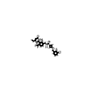 CCc1cc(=O)[nH]c(-c2c(C(F)(F)F)ccc(CNC(=O)[C@H]3C[C@H](OCc4cccc(Cl)c4F)C3)c2F)n1